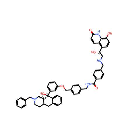 O=C(NCc1ccc(COc2cccc([C@@](O)(C(=O)O)c3ccccc3CC3CCN(Cc4ccccc4)CC3)c2)cc1)c1ccc(CNC[C@H](O)c2ccc(O)c3[nH]c(=O)ccc23)cc1